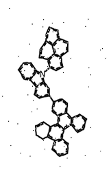 C1=Cc2c(c3ccccc3c3c4ccccc4c4ccc(-c5ccc6c7ccccc7n(-c7ccc8ccc9cccc%10ccc7c8c9%10)c6c5)cc4c23)CC1